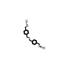 O=C=NCc1ccc(CSCc2ccc(CN=C=O)cc2)cc1